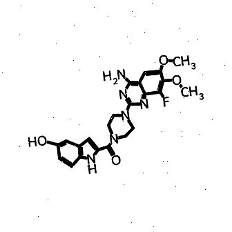 COc1cc2c(N)nc(N3CCN(C(=O)c4cc5cc(O)ccc5[nH]4)CC3)nc2c(F)c1OC